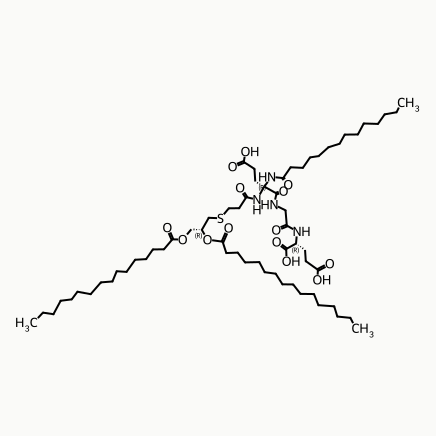 CCCCCCCCCCCCCCCC(=O)OC[C@H](CSCCC(=O)N[C@@](CCC(=O)O)(NC(=O)CCCCCCCCCCCCC)C(=O)NCC(=O)N[C@H](CCC(=O)O)C(=O)O)OC(=O)CCCCCCCCCCCCCCC